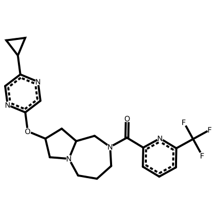 O=C(c1cccc(C(F)(F)F)n1)N1CCCN2CC(Oc3cnc(C4CC4)cn3)CC2C1